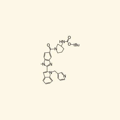 Cn1c(-c2cc3ccccc3n2Cc2cccnc2)nc2cc(C(=O)N3CCCC(NC(=O)OC(C)(C)C)C3)ccc21